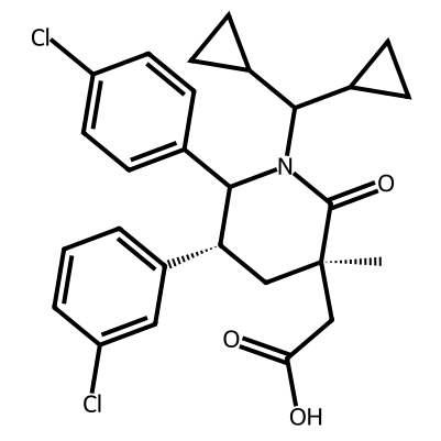 C[C@]1(CC(=O)O)C[C@H](c2cccc(Cl)c2)C(c2ccc(Cl)cc2)N(C(C2CC2)C2CC2)C1=O